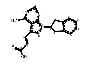 Nc1ncnc2c1c(/C=C/C(=O)O)nn2C1Cc2ccccc2C1